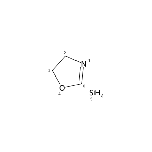 C1=NCCO1.[SiH4]